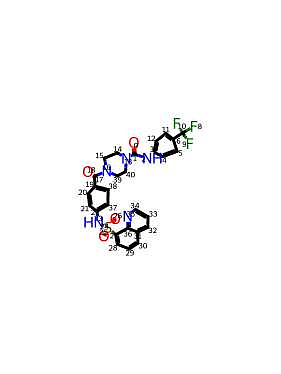 O=C(Nc1ccc(C(F)(F)F)cc1)N1CCN(C(=O)c2ccc(NS(=O)(=O)c3cccc4cccnc34)cc2)CC1